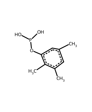 Cc1cc(C)c(C)c(OP(O)O)c1